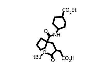 CCOC(=O)C1CCC(NC(=O)C2(CC(CC(=O)O)C(=O)OC(C)(C)C)CCCC2)CC1